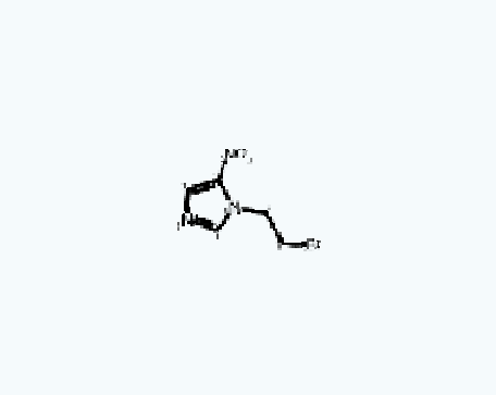 O=[N+]([O-])c1cncn1CCBr